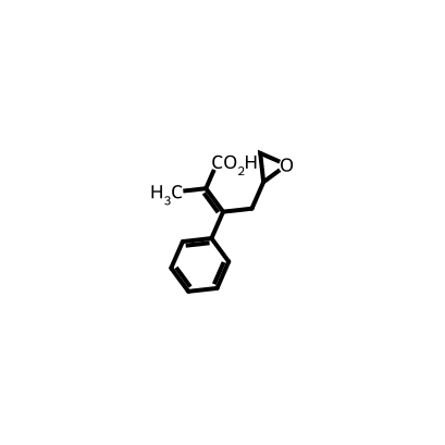 CC(C(=O)O)=C(CC1CO1)c1ccccc1